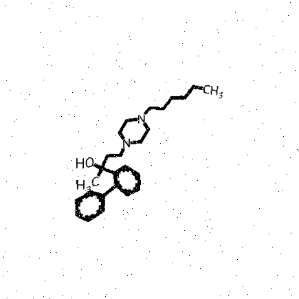 CCCCCCN1CCN(CCC(C)(O)c2ccccc2-c2ccccc2)CC1